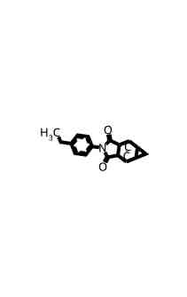 CCc1ccc(N2C(=O)C3C4CCC(C5CC54)C3C2=O)cc1